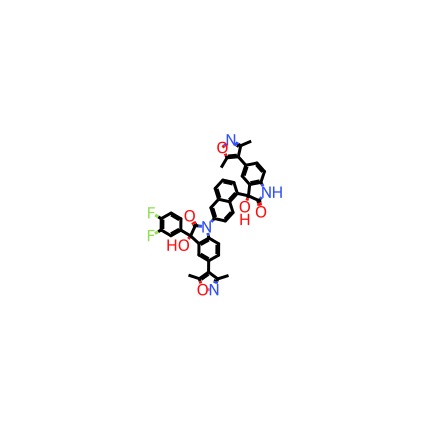 Cc1noc(C)c1-c1ccc2c(c1)C(O)(c1cccc3cc(N4C(=O)C(O)(c5ccc(F)c(F)c5)c5cc(-c6c(C)noc6C)ccc54)ccc13)C(=O)N2